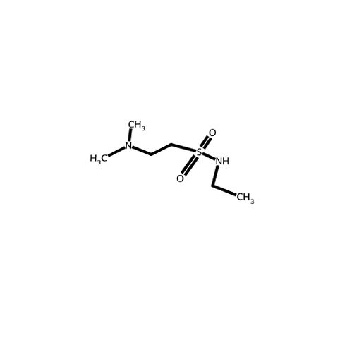 CCNS(=O)(=O)CCN(C)C